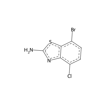 Nc1nc2c(Cl)ccc(Br)c2s1